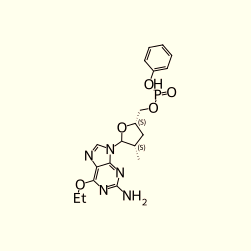 CCOc1nc(N)nc2c1ncn2C1O[C@H](CO[PH](=O)Oc2ccccc2)C[C@@H]1C